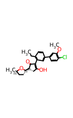 CCc1ccc(-c2ccc(Cl)c(OC)c2)cc1C1=C(O)C[C@H]([C@@H]2CC[C@H](C)O2)C1=O